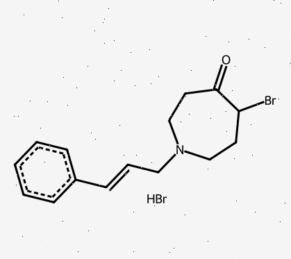 Br.O=C1CCN(CC=Cc2ccccc2)CCC1Br